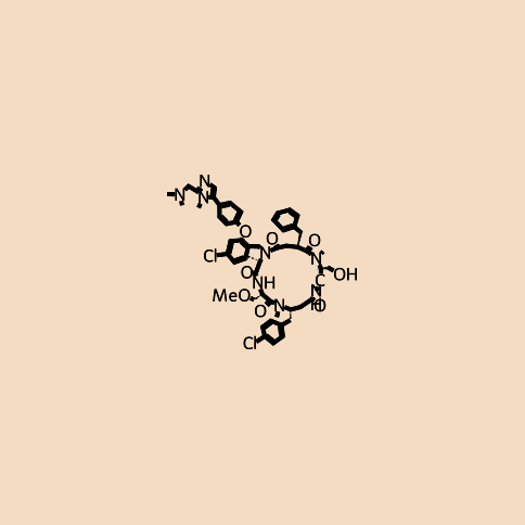 COC[C@@H]1NC(=O)[C@H](C)N(Cc2ccc(Cl)cc2Oc2ccc(-c3cnc(CN(C)C)n3C)cc2)C(=O)C[C@@H](Cc2ccccc2)C(=O)N(C)[C@@H](CO)CNC(=O)C[C@H](Cc2ccc(Cl)cc2)N(C)C1=O